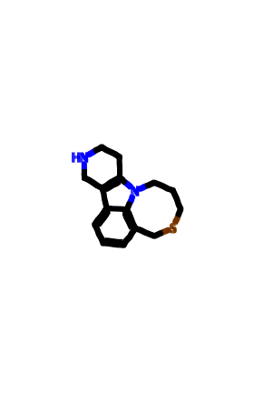 c1cc2c3c(c1)c1c(n3CCCSC2)CCNC1